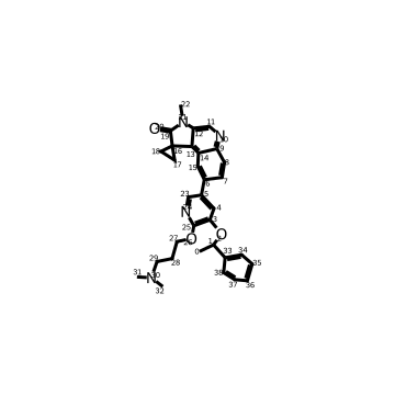 CC(Oc1cc(-c2ccc3ncc4c(c3c2)C2(CC2)C(=O)N4C)cnc1OCCCN(C)C)c1ccccc1